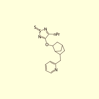 CCCC1=NS(=S)N=C1OC1CC2CC(Cc3ccccn3)C1C2